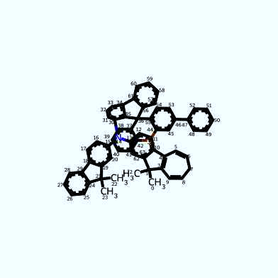 CC1(C)C2=C(C=CCC=C2)c2ccc(N(c3ccc4c(c3)C(C)(C)c3ccccc3-4)c3cccc4c3C3(c5ccccc5Sc5cc(-c6ccccc6)ccc53)c3ccccc3-4)cc21